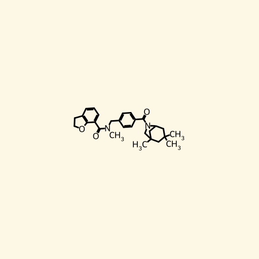 CN(Cc1ccc(C(=O)N2CC3(C)CC2CC(C)(C)C3)cc1)C(=O)c1cccc2c1OCC2